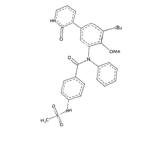 COc1c(N(C(=O)c2ccc(NS(C)(=O)=O)cc2)c2ccccc2)cc(-c2ccc[nH]c2=O)cc1C(C)(C)C